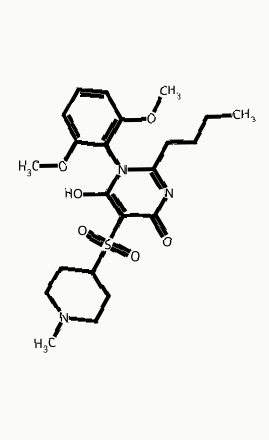 CCCCc1nc(=O)c(S(=O)(=O)C2CCN(C)CC2)c(O)n1-c1c(OC)cccc1OC